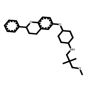 COCC(C)(C)CNC1CCC(Oc2ccc3c(c2)CCC(c2ccccc2)O3)CC1